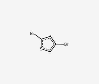 Brc1[c]c(Br)sc1